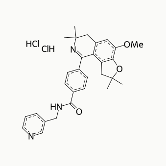 COc1cc2c(c3c1OC(C)(C)C3)C(c1ccc(C(=O)NCc3cccnc3)cc1)=NC(C)(C)C2.Cl.Cl